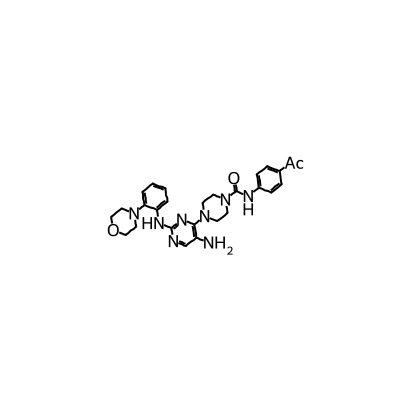 CC(=O)c1ccc(NC(=O)N2CCN(c3nc(Nc4ccccc4N4CCOCC4)ncc3N)CC2)cc1